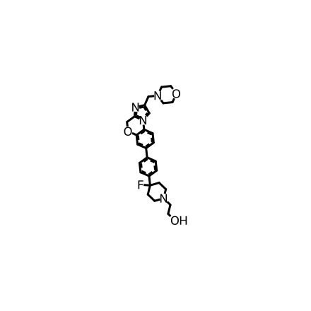 OCCN1CCC(F)(c2ccc(-c3ccc4c(c3)OCc3nc(CN5CCOCC5)cn3-4)cc2)CC1